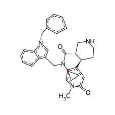 Cn1ccc([C@@H]2CCNC[C@H]2C(=O)N(Cc2cn(Cc3ccccc3)c3ccccc23)C2CC2)cc1=O